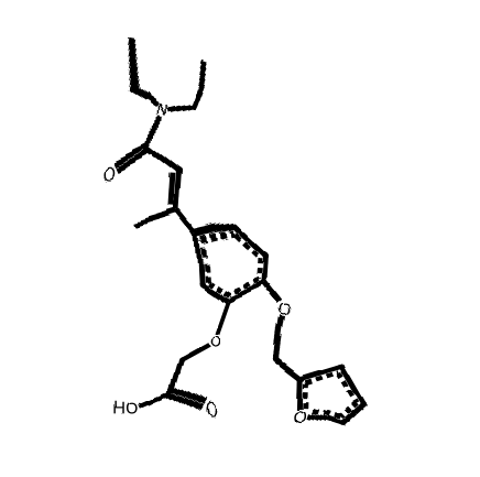 CCN(CC)C(=O)/C=C(\C)c1ccc(OCc2ccco2)c(OCC(=O)O)c1